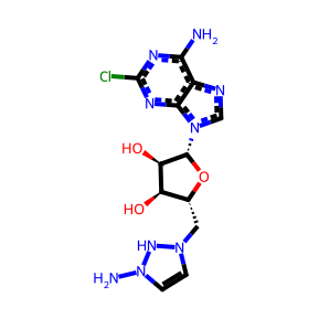 Nc1nc(Cl)nc2c1ncn2[C@@H]1O[C@H](CN2C=CN(N)N2)[C@@H](O)[C@H]1O